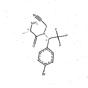 C[C@H](N)C(=O)N(CC#N)[C@@H](c1ccc(Br)cc1)C(F)(F)F